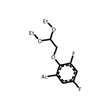 CCOC(COc1c(F)cc(F)cc1C(C)=O)OCC